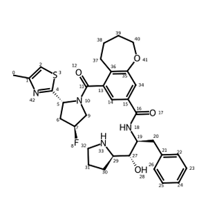 Cc1csc([C@H]2C[C@H](F)CN2C(=O)c2cc(C(=O)N[C@@H](Cc3ccccc3)[C@H](O)[C@H]3CCCN3)cc3c2CCCCO3)n1